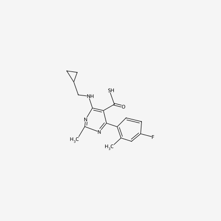 Cc1nc(NCC2CC2)c(C(=O)S)c(-c2ccc(F)cc2C)n1